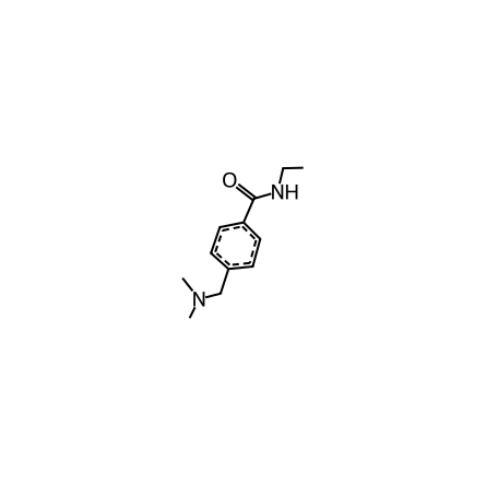 CCNC(=O)c1ccc(CN(C)C)cc1